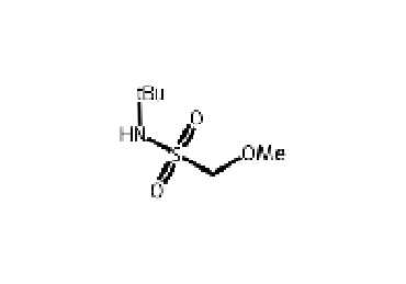 COCS(=O)(=O)NC(C)(C)C